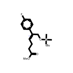 COC(=O)CC/C=C(\CO[Si](C)(C)C(C)(C)C)c1ccc(F)cc1